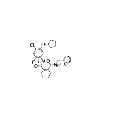 O=C(NCc1ccco1)C1=C(C(=O)Nc2cc(OC3CCCC3)c(Cl)cc2F)CCCC1